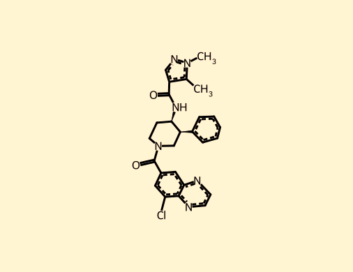 Cc1c(C(=O)N[C@@H]2CCN(C(=O)c3cc(Cl)c4nccnc4c3)C[C@@H]2c2ccccc2)cnn1C